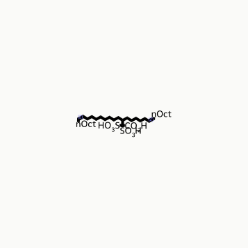 CCCCCCCC/C=C\CCCCCCCCC(CCCCC/C=C\CCCCCCCC)C(C(=O)O)(S(=O)(=O)O)S(=O)(=O)O